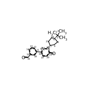 CC(C)(C)[C@H]1CC[C@H](n2nc(-c3cccc(C=O)c3)ccc2=O)CC1